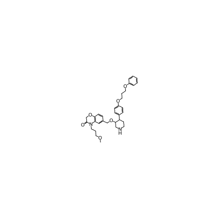 COCCCN1C(=O)COc2ccc(COC3CNCCC3c3ccc(OCCCOc4ccccc4)cc3)cc21